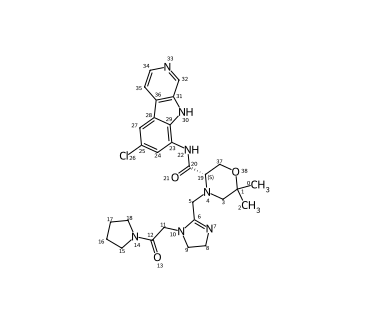 CC1(C)CN(CC2=NCCN2CC(=O)N2CCCC2)[C@H](C(=O)Nc2cc(Cl)cc3c2[nH]c2cnccc23)CO1